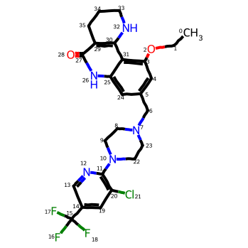 CCOc1cc(CN2CCN(c3ncc(C(F)(F)F)cc3Cl)CC2)cc2[nH]c(=O)c3c(c12)NCCC3